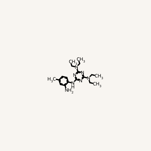 CCN(CC)c1nc(Nc2ccc(C)cc2N)nc(N(CC)CC)n1